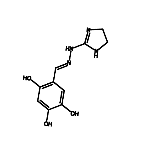 Oc1cc(O)c(C=NNC2=NCCN2)cc1O